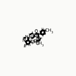 Cc1ccc([C@H](C(=O)N2CCN(c3ncnc4c3[C@H](C)C[C@@H]4F)CC2)[C@@H]2CCC(C)(C)N2)cc1